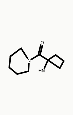 [NH]C1(C(=O)N2CCCCC2)CCC1